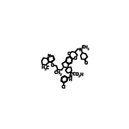 C[C@@H](COc1ccnc2c1[C@H](C)CCC2)C[C@H]1Cc2cc3c(cc2C12CCC(Nc1cccc(Cl)c1)(C(=O)O)CC2)OCC(CN(C)C1CCC(=O)CC1)CO3